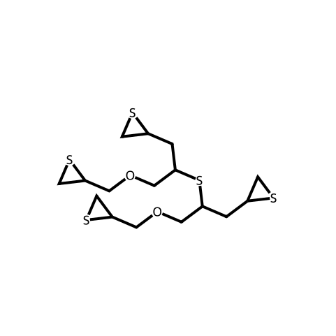 C(OCC(CC1CS1)SC(COCC1CS1)CC1CS1)C1CS1